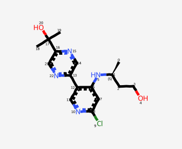 C[C@@H](CCO)Nc1cc(Cl)ncc1-c1cnc(C(C)(C)O)cn1